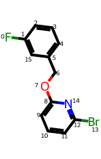 Fc1cccc(COc2cccc(Br)n2)c1